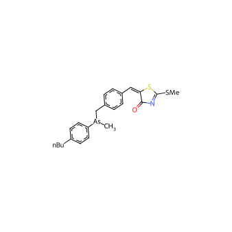 CCCCc1ccc([As](C)Cc2ccc(C=C3SC(SC)=NC3=O)cc2)cc1